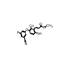 COC(=O)/C=C/c1c(S)ccc(Oc2cc(F)cc(C#N)c2)c1C